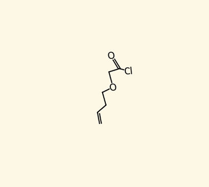 C=CCCOCC(=O)Cl